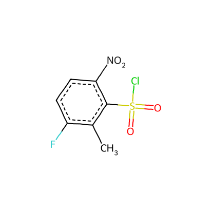 Cc1c(F)ccc([N+](=O)[O-])c1S(=O)(=O)Cl